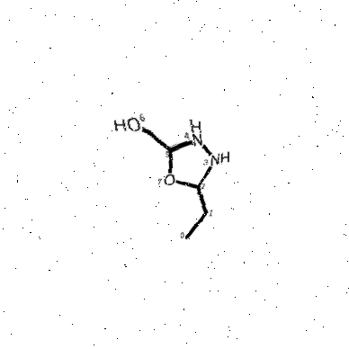 CCC1NNC(O)O1